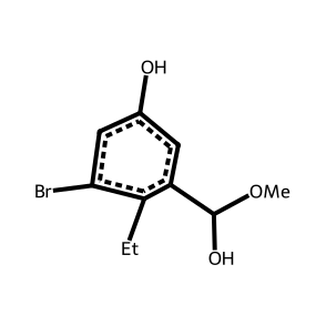 CCc1c(Br)cc(O)cc1C(O)OC